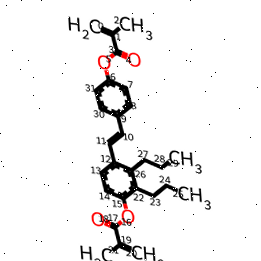 C=C(C)C(=O)Oc1ccc(C=Cc2ccc(OC(=O)C(=C)C)c(CCC)c2CCC)cc1